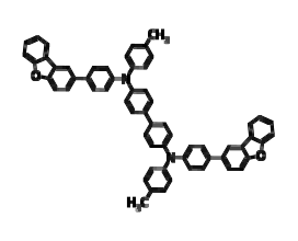 Cc1ccc(N(c2ccc(-c3ccc(N(c4ccc(C)cc4)c4ccc(-c5ccc6oc7ccccc7c6c5)cc4)cc3)cc2)c2ccc(-c3ccc4oc5ccccc5c4c3)cc2)cc1